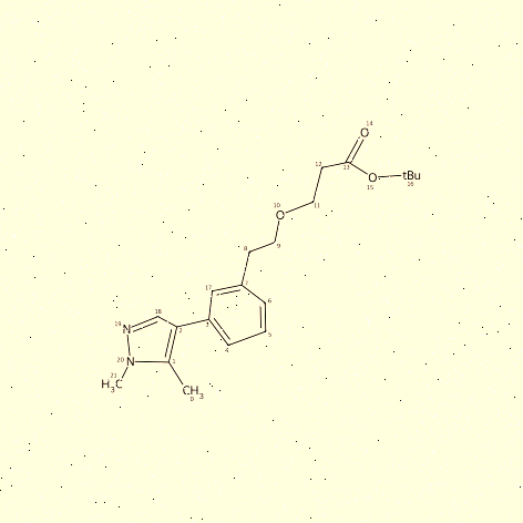 Cc1c(-c2cccc(CCOCCC(=O)OC(C)(C)C)c2)cnn1C